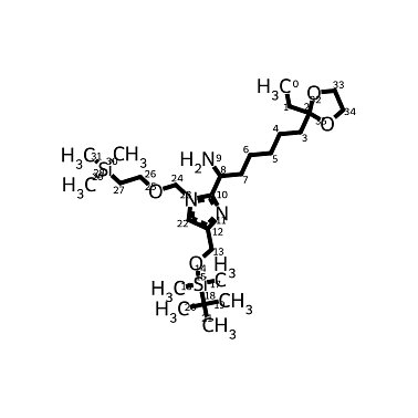 CCC1(CCCCCC(N)c2nc(CO[Si](C)(C)C(C)(C)C)cn2COCC[Si](C)(C)C)OCCO1